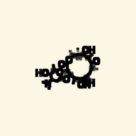 C[C@@H]1[C@H](O)[C@@H](C)C(=O)[C@H](C)C[C@@](C)(O)[C@H](O)[C@@H](C)[C@H](O[C@H]2CC(N(C)C)C(O)[C@@H](C)O2)[C@@H](C)C(=O)O[C@@H]1C